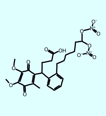 COC1=C(OC)C(=O)C(C(CCC(=O)O)c2ccccc2CCCCCC(O[N+](=O)[O-])O[N+](=O)[O-])=C(C)C1=O